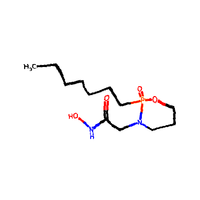 CCCCCCCP1(=O)OCCCN1CC(=O)NO